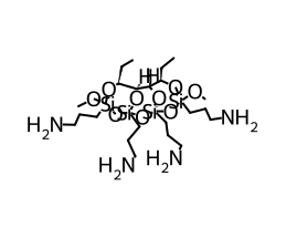 CC[C@@H]1O[Si](CCCN)(OC)O[Si]2(CCCN)O[C@@H]1[C@@H]1O[Si](CCCN)(O[Si](CCCN)(OC)O[C@@H]1CC)O2